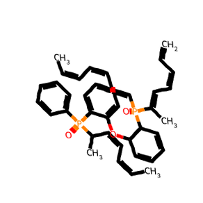 C=C/C=C\C=C(/C)P(=O)(/C=C/C=C\C=C/C)C1C=CC=CC1Oc1ccccc1P(=O)(c1ccccc1)C(C)/C=C\C=C/C